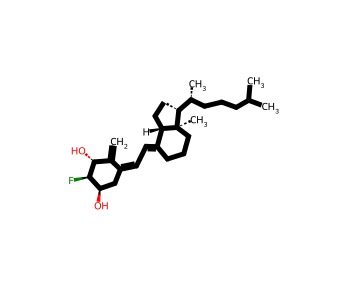 C=C1/C(=C\C=C2/CCC[C@]3(C)[C@@H]([C@H](C)CCCC(C)C)CC[C@@H]23)C[C@@H](O)[C@@H](F)[C@@H]1O